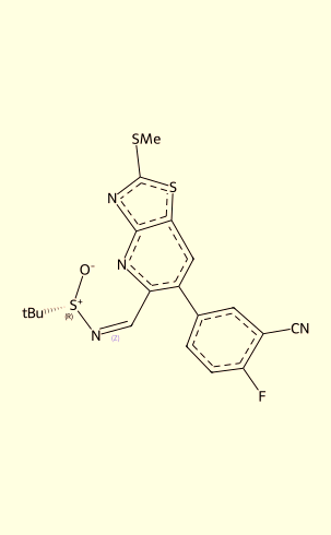 CSc1nc2nc(/C=N\[S@@+]([O-])C(C)(C)C)c(-c3ccc(F)c(C#N)c3)cc2s1